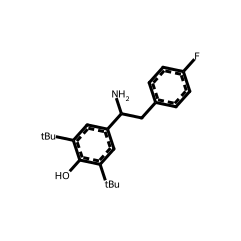 CC(C)(C)c1cc(C(N)Cc2ccc(F)cc2)cc(C(C)(C)C)c1O